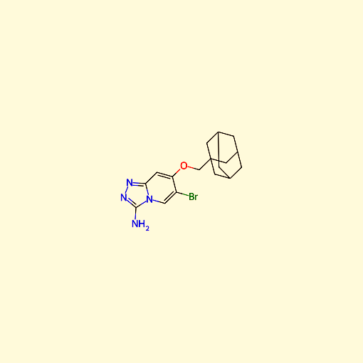 Nc1nnc2cc(OCC34CC5CC(CC(C5)C3)C4)c(Br)cn12